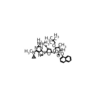 C#C[C@H]1C[C@@H](COP(=O)(N[C@H](C)C(=O)OCC(C)(C)C)Oc2cccc3ccccc23)O[C@H]1n1cnc2c(N(C)C3CC3)nc(N)nc21